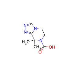 CC1(C)c2nncn2CCN1C(=O)O